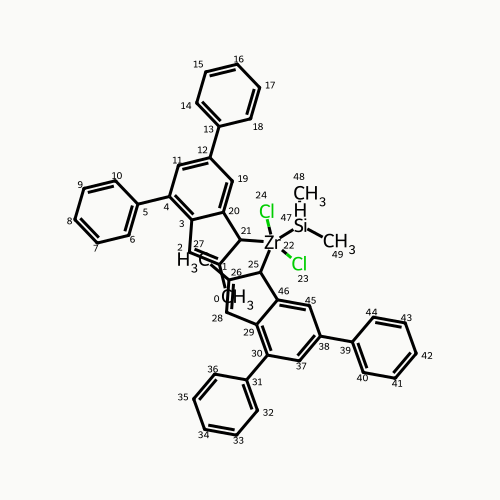 CC1=Cc2c(-c3ccccc3)cc(-c3ccccc3)cc2[CH]1[Zr]([Cl])([Cl])([CH]1C(C)=Cc2c(-c3ccccc3)cc(-c3ccccc3)cc21)[SiH](C)C